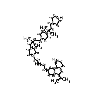 CC(C)C(CN1CCNCC1)N1CCN(CCNCCN2CCN(CC(C)(C)CCN3CCN(C(C)(C)CCN4CCNCC4)CC3)CC2)CC1